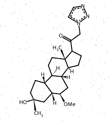 CO[C@@H]1C[C@@H]2[C@H](CC[C@]3(C)C(C(=O)Cn4ccnn4)CC[C@@H]23)[C@H]2CC[C@@](C)(O)C[C@H]21